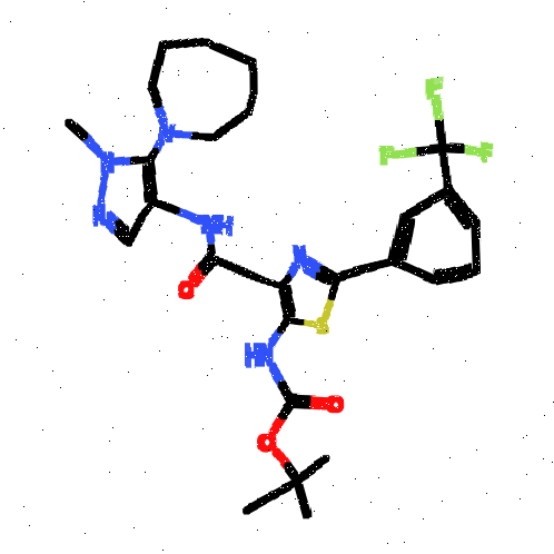 Cn1ncc(NC(=O)c2nc(-c3cccc(C(F)(F)F)c3)sc2NC(=O)OC(C)(C)C)c1N1CCCCCC1